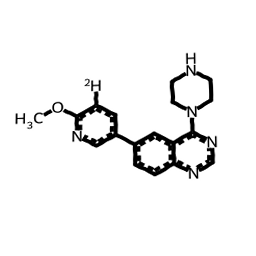 [2H]c1cc(-c2ccc3ncnc(N4CCNCC4)c3c2)cnc1OC